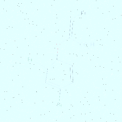 CC/C=C(/Oc1ccc(Br)cc1Br)C(=O)O